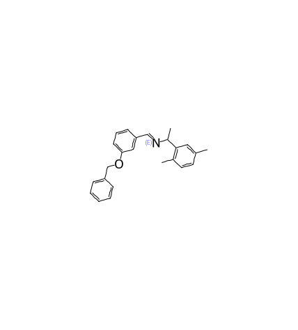 Cc1ccc(C)c(C(C)/N=C/c2cccc(OCc3ccccc3)c2)c1